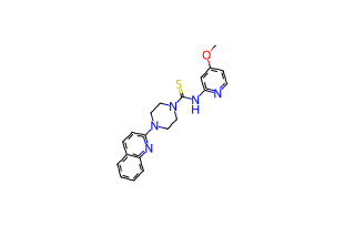 COc1ccnc(NC(=S)N2CCN(c3ccc4ccccc4n3)CC2)c1